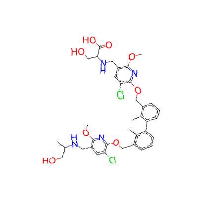 COc1nc(OCc2cccc(-c3cccc(COc4nc(OC)c(CNC(CO)C(=O)O)cc4Cl)c3C)c2C)c(Cl)cc1CNC(C)CO